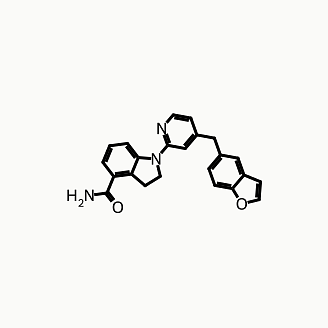 NC(=O)c1cccc2c1CCN2c1cc(Cc2ccc3occc3c2)ccn1